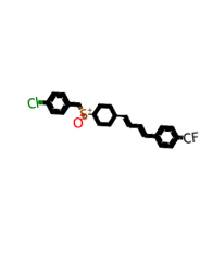 [O-][S+](Cc1ccc(Cl)cc1)[C@H]1CC[C@H](/C=C/C=C/c2ccc(C(F)(F)F)cc2)CC1